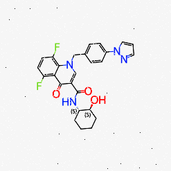 O=C(N[C@H]1CCCC[C@@H]1O)c1cn(Cc2ccc(-n3cccn3)cc2)c2c(F)ccc(F)c2c1=O